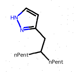 CCCCCC(CCCCC)Cc1cc[nH]n1